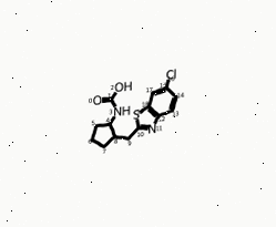 O=C(O)NC1CCCC1Cc1nc2ccc(Cl)cc2s1